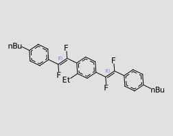 CCCCc1ccc(/C(F)=C(\F)c2ccc(/C(F)=C(\F)c3ccc(CCCC)cc3)c(CC)c2)cc1